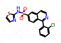 O=S(=O)(Nc1nccs1)c1ccc2c(-c3ccccc3Cl)nccc2c1